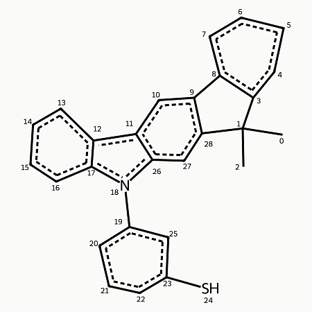 CC1(C)c2ccccc2-c2cc3c4ccccc4n(-c4cccc(S)c4)c3cc21